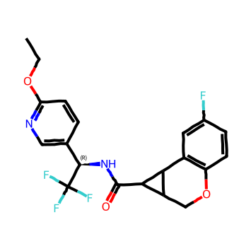 CCOc1ccc([C@@H](NC(=O)C2C3COc4ccc(F)cc4C32)C(F)(F)F)cn1